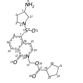 NC1CCN([S+]([O-])c2cccc3c(=O)n(COC(=O)C4CCCC4)ccc23)C1